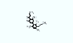 CCCC(=O)C1=C(O)CC(c2c(C)cc(C)c(COCC)c2C)CC1=O